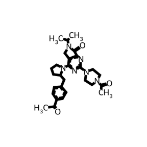 CC(=O)c1ccc(CC2CCCN2c2nc(N3CCN(C(C)=O)CC3)nc3c2CN(C(C)C)C3=O)cc1